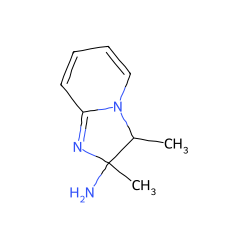 CC1N2C=CC=CC2=NC1(C)N